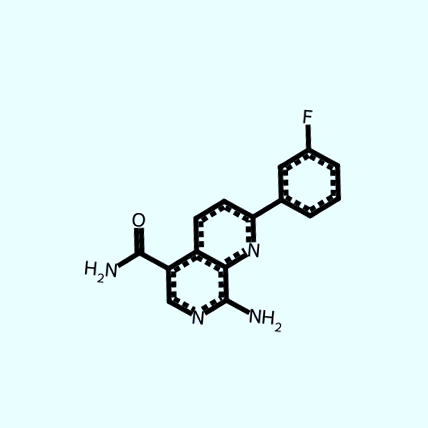 NC(=O)c1cnc(N)c2nc(-c3cccc(F)c3)ccc12